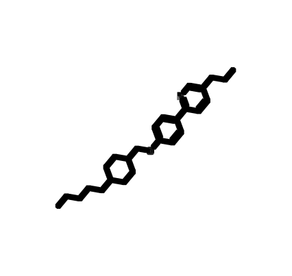 CCCCCC1CCC(COc2ccc(-c3ccc(CCC)cn3)cc2)CC1